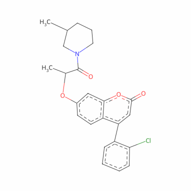 CC1CCCN(C(=O)C(C)Oc2ccc3c(-c4ccccc4Cl)cc(=O)oc3c2)C1